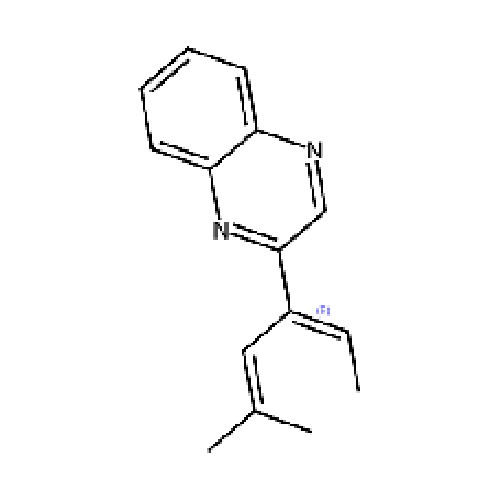 C/C=C(\C=C(C)C)c1cnc2ccccc2n1